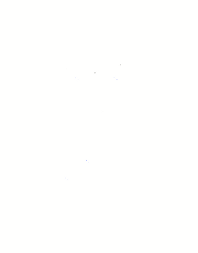 CCN(C[C@@H](C)N(CC)CC1Cc2cc(Oc3nc4ncccc4s3)ccc2O1)C(C)=O